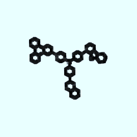 c1ccc2cc(-c3ccc(N(c4ccc(-c5ccc6c7ccccc7c7ccccc7c6c5)cc4)c4ccc(-c5cccc6c5oc5ccccc56)cc4)cc3)ccc2c1